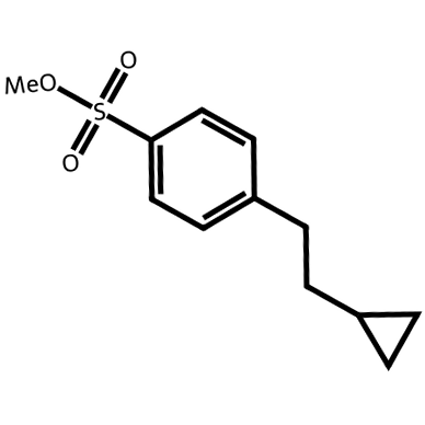 COS(=O)(=O)c1ccc(CCC2CC2)cc1